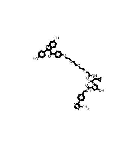 Cc1ncsc1-c1ccc(CNC(=O)C2CC(O)CN2C(=O)[C@@H](NC(=O)COCCOCCOCCOc2ccc(C(=O)c3c(-c4ccc(O)cc4)sc4cc(O)ccc34)cc2)C2CC2)cc1